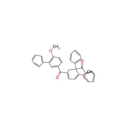 COC1=CC=C(C(=O)c2ccc(OC)c(-c3ccccc3)c2)CC1(C(=O)c1ccccc1)c1ccccc1